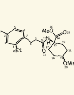 CCc1cc(C)ccc1CCC(=O)N[C@]1(C(=O)OC)CC[C@H](OC)CC1